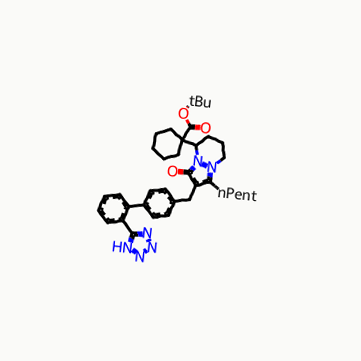 CCCCCc1c(Cc2ccc(-c3ccccc3-c3nnn[nH]3)cc2)c(=O)n2n1CCCC2C1(C(=O)OC(C)(C)C)CCCCC1